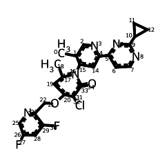 Cc1cnc(-c2ccnc(C3CC3)n2)cc1-n1c(C)cc(OCc2ncc(F)cc2F)c(Cl)c1=O